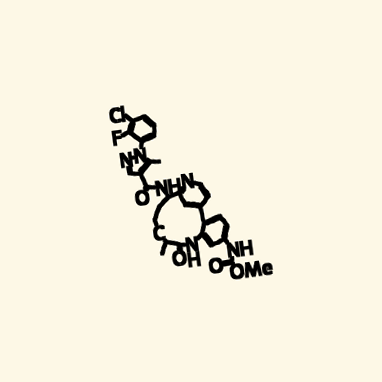 COC(=O)Nc1ccc2c(c1)NC(=O)C(C)CCCC(NC(=O)c1cnn(-c3cccc(Cl)c3F)c1C)c1cc-2ccn1